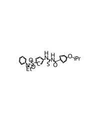 CCN(c1ccccc1)S(=O)(=O)c1ccc(NC(=S)NC(=O)c2ccc(OC(C)C)cc2)cc1